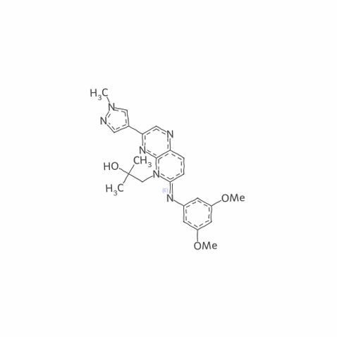 COc1cc(/N=c2\ccc3ncc(-c4cnn(C)c4)nc3n2CC(C)(C)O)cc(OC)c1